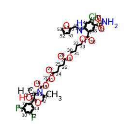 C[C@@H]1CO[C@@](O)(c2cc(F)cc(F)c2)[C@H](C)N1C(=O)OCOC(=O)CCCC(=O)OCCCCOC(=O)c1cc(S(N)(=O)=O)c(Cl)cc1NCc1ccco1